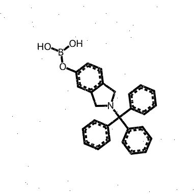 OB(O)Oc1ccc2c(c1)CN(C(c1ccccc1)(c1ccccc1)c1ccccc1)C2